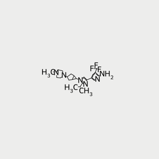 CC(C)c1nc(-c2cnc(N)c(C(F)(F)F)c2)cn1C1C2CC(N3CCN(C)CC3)CC21